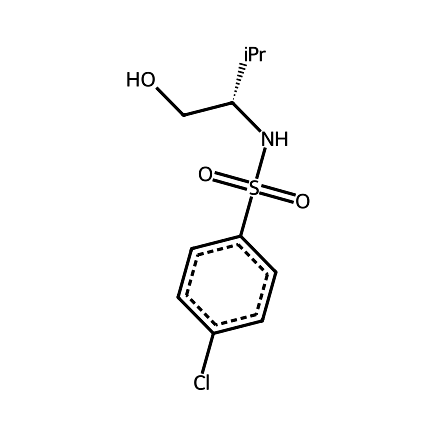 CC(C)[C@@H](CO)NS(=O)(=O)c1ccc(Cl)cc1